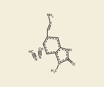 C#N.C#N.Cn1c(=O)[nH]c2cc(C=NN)ccc21